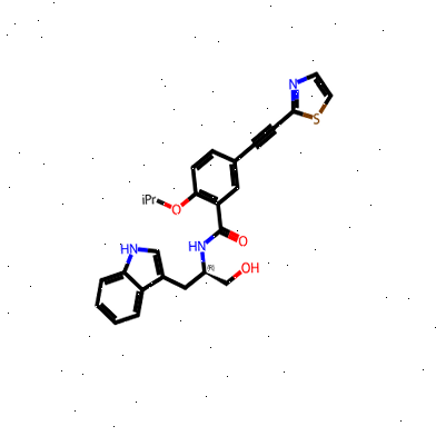 CC(C)Oc1ccc(C#Cc2nccs2)cc1C(=O)N[C@@H](CO)Cc1c[nH]c2ccccc12